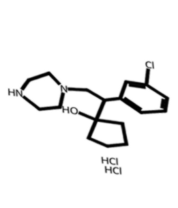 Cl.Cl.OC1(C(CN2CCNCC2)c2cccc(Cl)c2)CCCC1